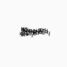 CC(C)(C)OC(=O)N1CC[C@@](C)(OC(=O)N[C@H]2CCN(c3ccn4ncc(-c5cccnc5OC5CC5)c4n3)C2)C1